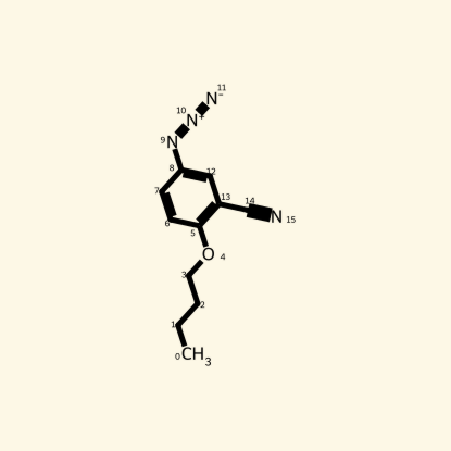 CCCCOc1ccc(N=[N+]=[N-])cc1C#N